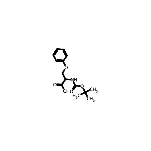 CC(C)(C)OC(=O)NC(COc1ccccc1)C(=O)O